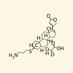 C[C@]12CC[C@H](SCCCN)C[C@@H]1CC[C@@H]1[C@@H]2CC[C@]2(C)[C@@H](C3=CC(=O)OC3)CC[C@@H]12.O=C(O)C(=O)O